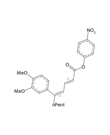 CCCCC/C(=C/C=C/C(=O)Oc1ccc([N+](=O)[O-])cc1)c1ccc(OC)c(OC)c1